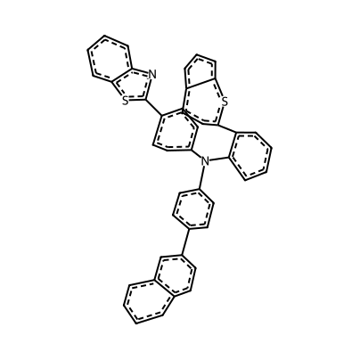 c1cc2ccc(-c3ccccc3N(c3ccc(-c4ccc5ccccc5c4)cc3)c3ccc(-c4nc5ccccc5s4)cc3)sc-2c1